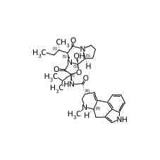 CC[C@H](C)[C@H]1C(=O)N2CCC[C@H]2[C@]2(O)O[C@](NC(=O)[C@@H]3C=C4c5cccc6[nH]cc(c56)C[C@H]4N(C)C3)(C(C)C)C(=O)N12